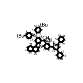 CC(C)(C)c1ccc(N(c2ccc(C(C)(C)C)cc2)c2cc3c4c(c2)c2c5ccccc5ccc2n4-c2ccc(-c4cc(-c5ccccc5)cc(-c5ccccc5)n4)cc2C3(C)C)cc1